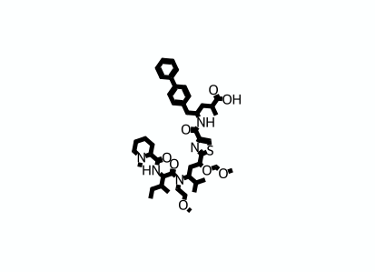 CCC(C)C(NC(=O)C1CCCCN1C)C(=O)N(CCOC)C(CC(OCOC)c1nc(C(=O)NC(Cc2ccc(-c3ccccc3)cc2)CC(C)C(=O)O)cs1)C(C)C